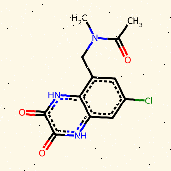 [CH2]N(Cc1cc(Cl)cc2[nH]c(=O)c(=O)[nH]c12)C(C)=O